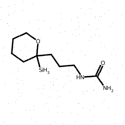 NC(=O)NCCCC1([SiH3])CCCCO1